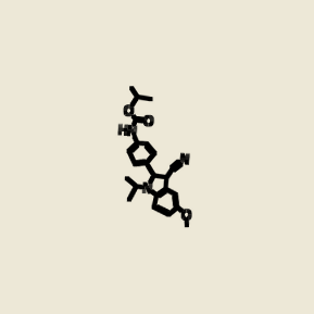 COc1ccc2c(c1)C(C#N)C(c1ccc(NC(=O)OC(C)C)cc1)N2C(C)C